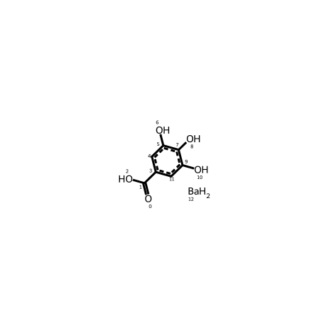 O=C(O)c1cc(O)c(O)c(O)c1.[BaH2]